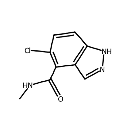 CNC(=O)c1c(Cl)ccc2[nH]ncc12